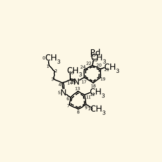 CCCCC(=Nc1ccc(C)c(C)c1)C(C)=Nc1ccc(C)c(C)c1.[Pd]